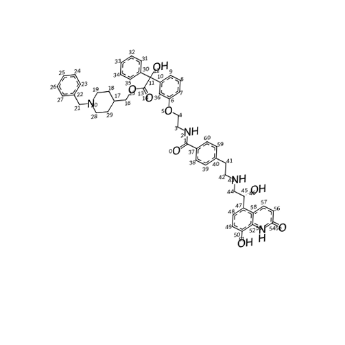 O=C(NCCOc1cccc(C(O)(C(=O)OCC2CCN(Cc3ccccc3)CC2)c2ccccc2)c1)c1ccc(CCNC[C@H](O)c2ccc(O)c3[nH]c(=O)ccc23)cc1